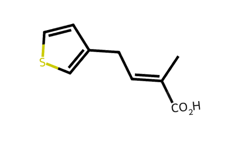 CC(=CCc1ccsc1)C(=O)O